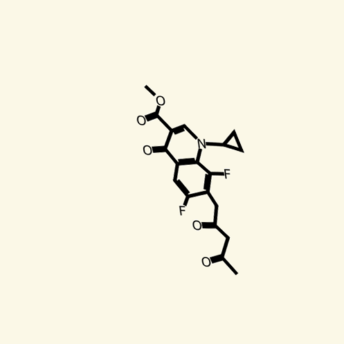 COC(=O)c1cn(C2CC2)c2c(F)c(CC(=O)CC(C)=O)c(F)cc2c1=O